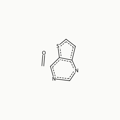 C=O.c1ncc2sccc2n1